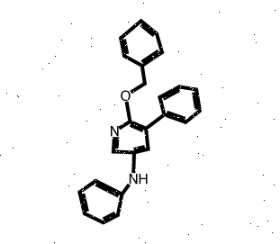 c1ccc(COc2ncc(Nc3ccccc3)cc2-c2ccccc2)cc1